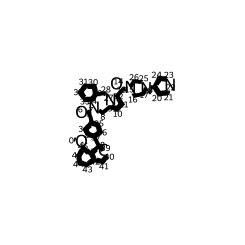 COc1cc(C(=O)N2Cc3ccc(C(=O)N4CCN(c5ccncc5)CC4)n3Cc3ccccc32)ccc1-c1cccc2ccccc12